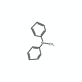 [CH3][Sb]([c]1ccccc1)[c]1ccccc1